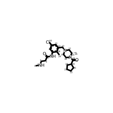 CNCCC(=O)Nc1cc(Cl)cc(CN2CCN(C(=O)C3CCCC3)[C@@H](C)C2)c1C